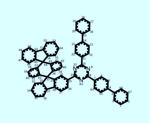 c1ccc(-c2ccc(-c3nc(-c4ccc(-c5ccccc5)cc4)nc(-c4ccc5c(c4)C4(c6ccccc6-5)c5ccccc5C5(c6ccccc6-c6ccccc65)c5ccccc54)n3)cc2)cc1